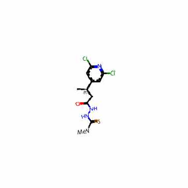 CNC(=S)NNC(=O)C[C@@H](C)c1cc(Cl)nc(Cl)c1